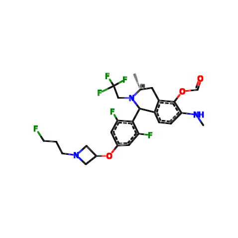 CNc1ccc2c(c1OC=O)C[C@@H](C)N(CC(F)(F)F)C2c1c(F)cc(OC2CN(CCCF)C2)cc1F